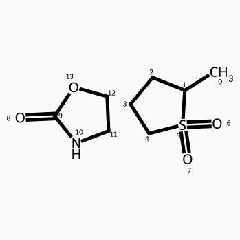 CC1CCCS1(=O)=O.O=C1NCCO1